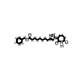 O=C1CCCC(n2cc(CCCCCCCC(=O)OCc3ccccc3)nn2)C(=O)N1